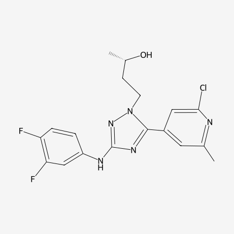 Cc1cc(-c2nc(Nc3ccc(F)c(F)c3)nn2CC[C@H](C)O)cc(Cl)n1